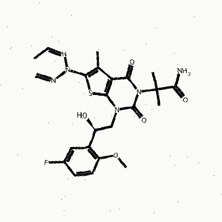 C=NN(/N=C\C)c1sc2c(c1C)c(=O)n(C(C)(C)C(N)=O)c(=O)n2C[C@H](O)c1cc(F)ccc1OC